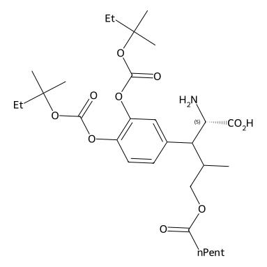 CCCCCC(=O)OCC(C)C(c1ccc(OC(=O)OC(C)(C)CC)c(OC(=O)OC(C)(C)CC)c1)[C@H](N)C(=O)O